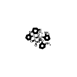 Nc1ccccc1ON1P(Oc2ccccc2N)N(Cl)P(Cl)N=P1(Oc1ccccc1N)Oc1ccccc1N